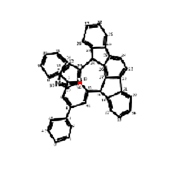 c1ccc(-c2cc(-c3ccccc3)nc(C3c4ccccc4-c4ccc5c(c43)C(c3ccncn3)c3ccccc3-5)c2)cc1